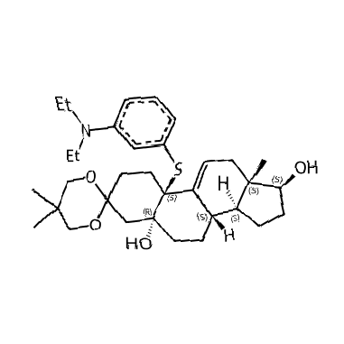 CCN(CC)c1cccc(S[C@]23CCC4(C[C@]2(O)CC[C@@H]2C3=CC[C@]3(C)[C@@H](O)CC[C@@H]23)OCC(C)(C)CO4)c1